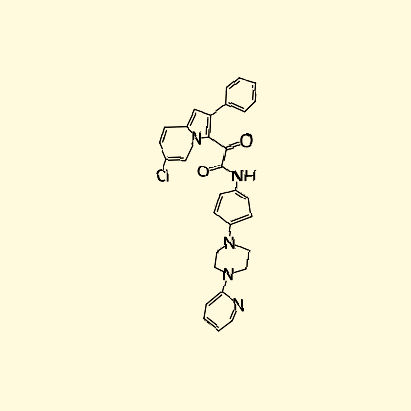 O=C(Nc1ccc(N2CCN(c3ccccn3)CC2)cc1)C(=O)c1c(-c2ccccc2)cc2ccc(Cl)cn12